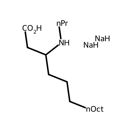 CCCCCCCCCCCC(CC(=O)O)NCCC.[NaH].[NaH]